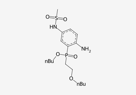 CCCCOCCP(=O)(OCCCC)c1cc(NS(C)(=O)=O)ccc1N